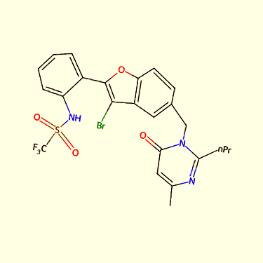 CCCc1nc(C)cc(=O)n1Cc1ccc2oc(-c3ccccc3NS(=O)(=O)C(F)(F)F)c(Br)c2c1